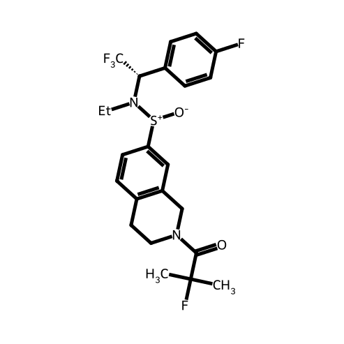 CCN([C@@H](c1ccc(F)cc1)C(F)(F)F)[S+]([O-])c1ccc2c(c1)CN(C(=O)C(C)(C)F)CC2